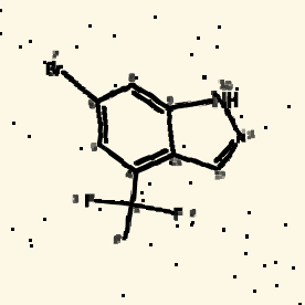 CC(F)(F)c1cc(Br)cc2[nH]ncc12